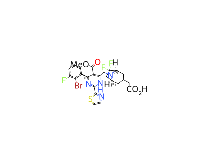 COC(=O)C1=C(CN2[C@H]3CC(CC(=O)O)C[C@@H]2C(F)(F)C3)NC(c2nccs2)=N[C@H]1c1cccc(F)c1Br